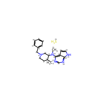 CC1CCN(Cc2ccccc2)CC1N(C)c1ncnc2[nH]ccc12.S